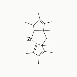 CC1=C(C)C2(C)CC3(C)C(C)=C(C)C(C)=[C]3[Zr][C]2=C1C